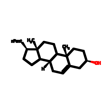 CCCCC[C@H]1CCC2[C@@H]3CC=C4C[C@@H](O)CC[C@]4(C)C3CC[C@@]21C